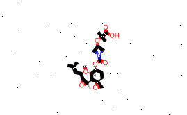 CO[C@@H]1[C@H](OC(=O)N2CC(OC(C)(C)C(=O)O)C2)CC[C@]2(CO2)[C@H]1[C@@]1(C)OC1CC=C(C)C